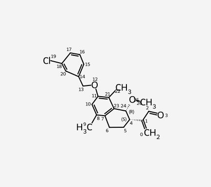 C=C(C=O)[C@@H]1CCc2c(C)cc(OCc3cccc(Cl)c3)c(C)c2[C@@H]1OC